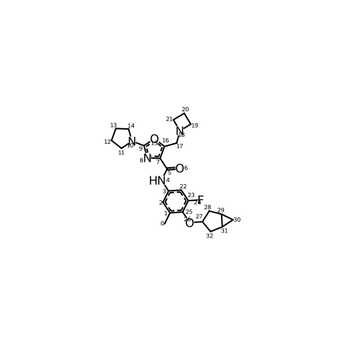 Cc1cc(NC(=O)c2nc(N3CCCC3)oc2CN2CCC2)cc(F)c1OC1CC2CC2C1